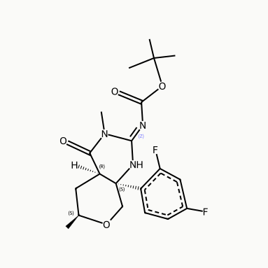 C[C@H]1C[C@H]2C(=O)N(C)/C(=N\C(=O)OC(C)(C)C)N[C@@]2(c2ccc(F)cc2F)CO1